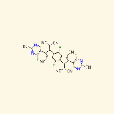 N#CC(C#N)=C1C(c2cnc(C#N)nc2F)=C(C#N)c2c(F)c3c(c(F)c21)C(C#N)=C(c1cnc(C#N)nc1F)C3=C(C#N)C#N